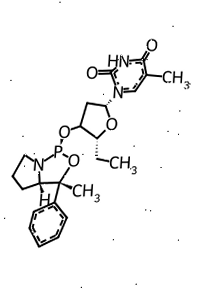 CC[C@H]1O[C@@H](n2cc(C)c(=O)[nH]c2=O)CC1O[P@@]1O[C@](C)(c2ccccc2)[C@@H]2CCCN21